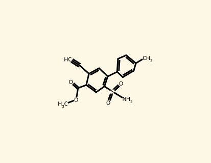 C#Cc1cc(-c2ccc(C)cc2)c(S(N)(=O)=O)cc1C(=O)OC